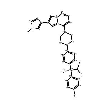 Cn1cc(-c2cc3c(N4CCN(c5ncc([C@](N)(c6ccc(F)cc6)C(F)F)cn5)CC4)ncnn3c2)cn1